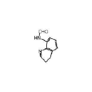 O=CNc1cccc2c1N=CCC2